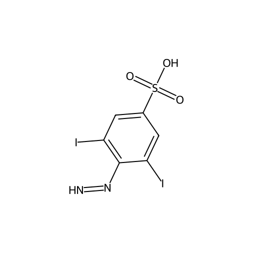 N=Nc1c(I)cc(S(=O)(=O)O)cc1I